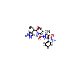 CC(C)C[C@@H](C(=O)N1C[C@]2(C[C@H]1C#N)C(=O)Nc1ccccc12)N(C)C(=O)[C@@H](c1cnn(C)c1)C(C)C